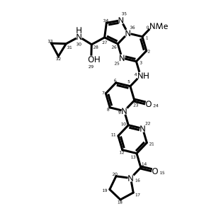 CNc1cc(Nc2cccn(-c3ccc(C(=O)N4CCCC4)cn3)c2=O)nc2c(C(O)NC3CC3)cnn12